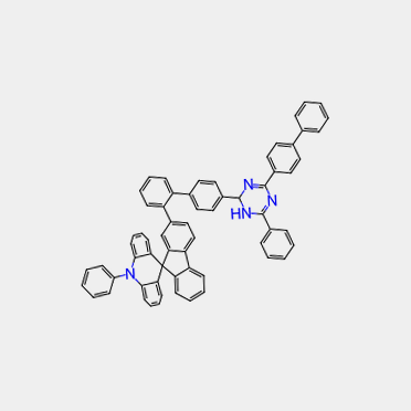 c1ccc(C2=NC(c3ccc(-c4ccccc4)cc3)=NC(c3ccc(-c4ccccc4-c4ccc5c(c4)C4(c6ccccc6-5)c5ccccc5N(c5ccccc5)c5ccccc54)cc3)N2)cc1